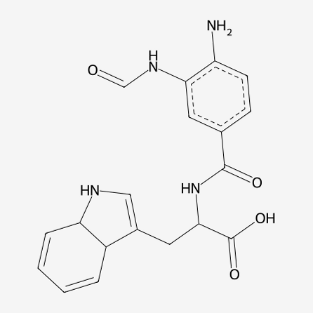 Nc1ccc(C(=O)NC(CC2=CNC3C=CC=CC23)C(=O)O)cc1NC=O